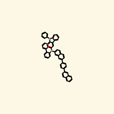 c1ccc(-c2ccccc2N(c2ccc3ccc(-c4ccc(-c5ccc6ccccc6c5)cc4)cc3c2)c2ccc3c(c2)c2ccccc2n3-c2ccccc2)cc1